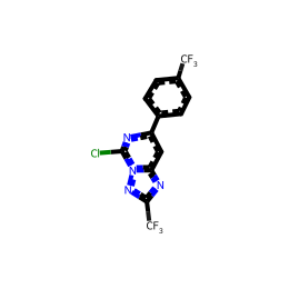 FC(F)(F)c1ccc(-c2cc3nc(C(F)(F)F)nn3c(Cl)n2)cc1